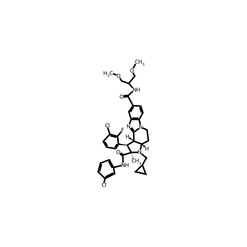 COCC(COC)NC(=O)c1ccc2c(c1)nc1n2CC[C@H]2[C@@H]1[C@H](c1cccc(Cl)c1F)[C@](C)(C(=O)Nc1cccc(Cl)c1)N2CC1CC1